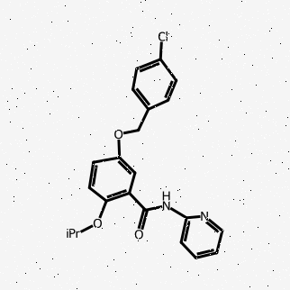 CC(C)Oc1ccc(OCc2ccc(Cl)cc2)cc1C(=O)Nc1ccccn1